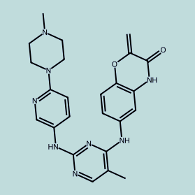 C=C1Oc2ccc(Nc3nc(Nc4ccc(N5CCN(C)CC5)nc4)ncc3C)cc2NC1=O